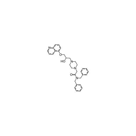 O=C(CN1CCN(CC(O)COc2cccc3ncccc23)CC1)N(Cc1ccccc1)Cc1ccccc1